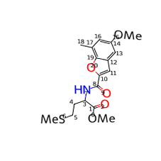 COC(=O)C(CCSC)NC(=O)c1cc2cc(OC)cc(C)c2o1